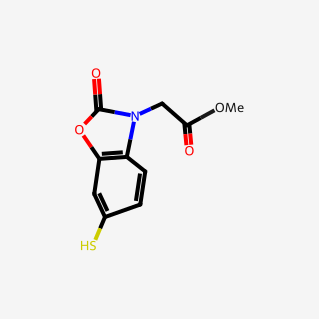 COC(=O)Cn1c(=O)oc2cc(S)ccc21